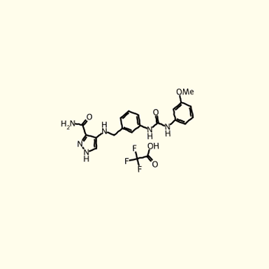 COc1cccc(NC(=O)Nc2cccc(CNc3c[nH]nc3C(N)=O)c2)c1.O=C(O)C(F)(F)F